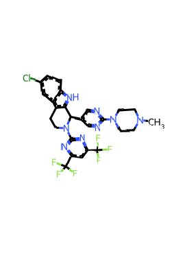 CN1CCN(c2ncc(C3c4[nH]c5ccc(Cl)cc5c4CCN3c3nc(C(F)(F)F)cc(C(F)(F)F)n3)cn2)CC1